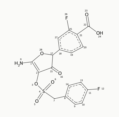 NC1=C(OS(=O)(=O)Cc2ccc(F)cc2)C(=O)C(c2ccc(C(=O)O)c(F)c2)O1